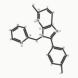 Cc1ccc(-c2nc3ccc(C)nc3n2Cc2ccccn2)cc1